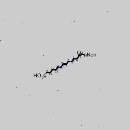 CCCCCCCCCC1OC1C/C=C/C/C=C/C/C=C/CCCC(=O)O